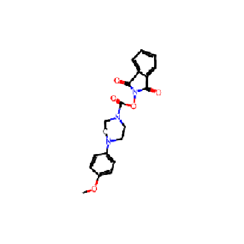 COc1ccc(N2CCN(C(=O)ON3C(=O)c4ccccc4C3=O)CC2)cc1